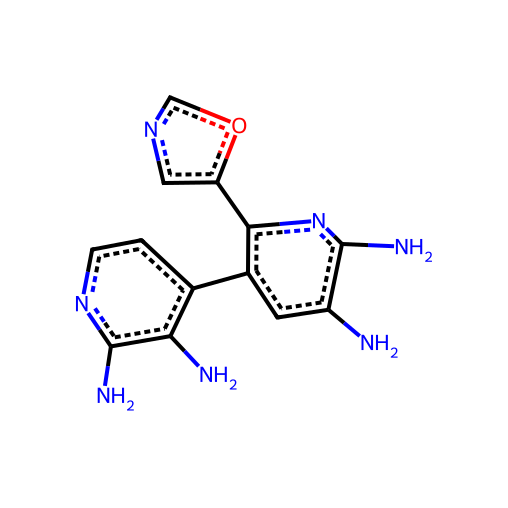 Nc1cc(-c2ccnc(N)c2N)c(-c2cnco2)nc1N